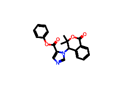 CC1(C)OC(=O)c2ccccc2C1n1cncc1C(=O)Oc1ccccc1